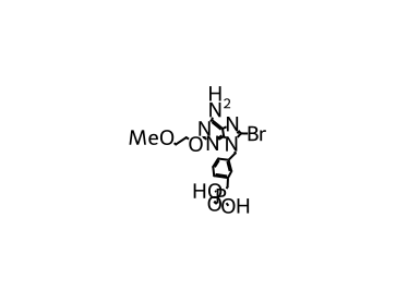 COCCOc1nc(N)c2nc(Br)n(Cc3cccc(CP(=O)(O)O)c3)c2n1